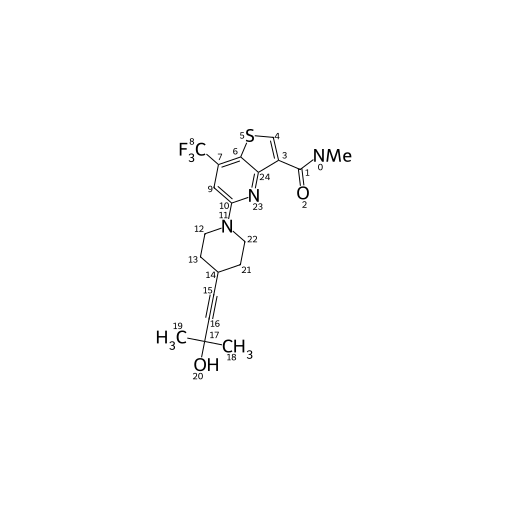 CNC(=O)c1csc2c(C(F)(F)F)cc(N3CCC(C#CC(C)(C)O)CC3)nc12